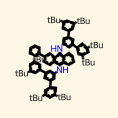 CC(C)(C)c1cc(-c2cc(Nc3c4ccccc4c(Nc4cc(-c5cc(C(C)(C)C)cc(C(C)(C)C)c5)cc(-c5cc(C(C)(C)C)cc(C(C)(C)C)c5)c4)c4cc(-c5ccccc5)ccc34)cc(-c3cc(C(C)(C)C)cc(C(C)(C)C)c3)c2)cc(C(C)(C)C)c1